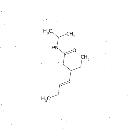 CC/C=C/C(CC)CC(=O)NC(C)C